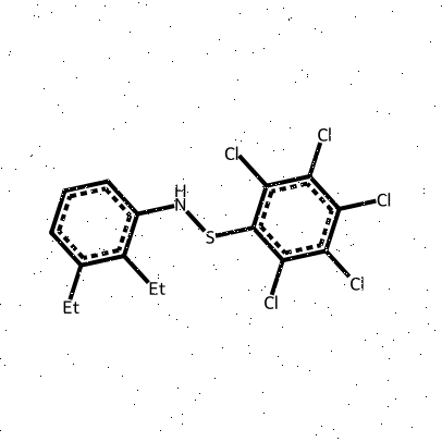 CCc1cccc(NSc2c(Cl)c(Cl)c(Cl)c(Cl)c2Cl)c1CC